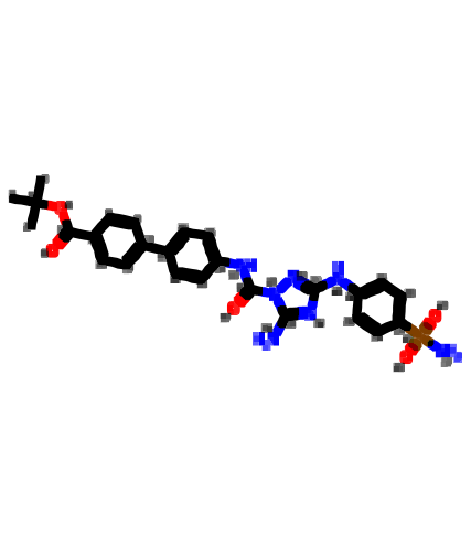 CC(C)(C)OC(=O)c1ccc(-c2ccc(NC(=O)n3nc(Nc4ccc(S(N)(=O)=O)cc4)nc3N)cc2)cc1